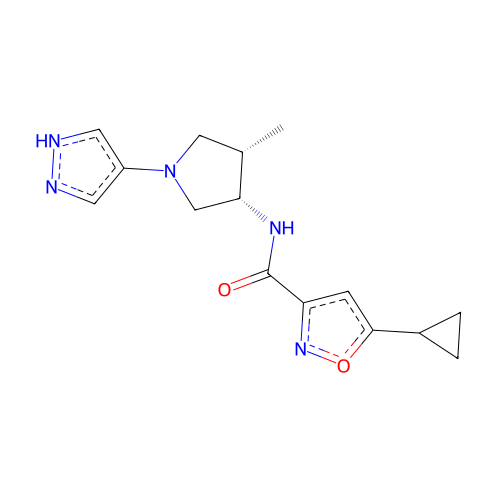 C[C@H]1CN(c2cn[nH]c2)C[C@H]1NC(=O)c1cc(C2CC2)on1